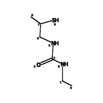 CCNC(=O)NCC(C)S